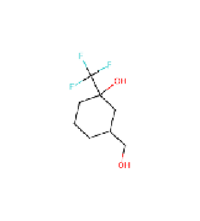 OCC1CCCC(O)(C(F)(F)F)C1